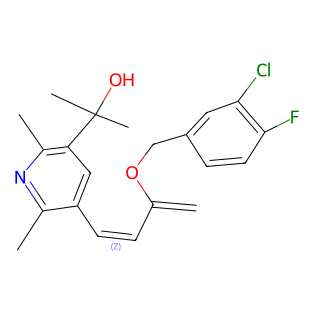 C=C(/C=C\c1cc(C(C)(C)O)c(C)nc1C)OCc1ccc(F)c(Cl)c1